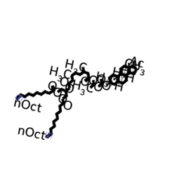 CCCCCCCC/C=C\CCCCCCCC(=O)OCC(COC(=O)CCCCCCC/C=C\CCCCCCCC)OC(=O)CC(C)CCC(C)CC(=O)OC(C)OC(=O)O[C@H]1CC[C@@]2(C)[C@@H](CC[C@@H]3[C@@H]2CC[C@]2(C)[C@@H](C(C)=O)CC[C@@H]32)C1